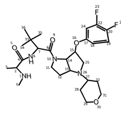 CNC(C)C(=O)NC(C(=O)N1CCC2C1C(Oc1ccc(F)c(F)c1)CN2C1CCOCC1)C(C)(C)C